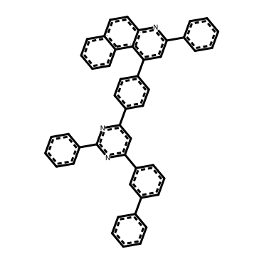 c1ccc(-c2cccc(-c3cc(-c4ccc(-c5cc(-c6ccccc6)nc6ccc7ccccc7c56)cc4)nc(-c4ccccc4)n3)c2)cc1